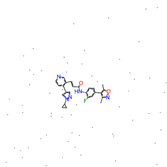 Cc1noc(C)c1-c1ccc(NC(=O)/C=C/c2cnccc2-c2cnn(C3CC3)c2)c(F)c1